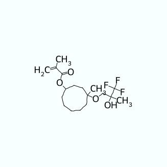 C=C(C)C(=O)OC1CCCCCC(C)(OCC(C)(O)C(F)(F)F)CC1